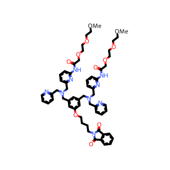 COCCOCCOCC(=O)Nc1cccc(CN(Cc2cc(CN(Cc3ccccn3)Cc3cccc(NC(=O)COCCOCCOC)n3)cc(OCCCCN3C(=O)c4ccccc4C3=O)c2)Cc2ccccn2)n1